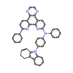 C1=Cc2c(c3ccccc3n2-c2ccc(N(c3ccccc3)c3ccc4c5nccnc5c5ccc(-c6ccccc6)nc5c4n3)cc2)CC1